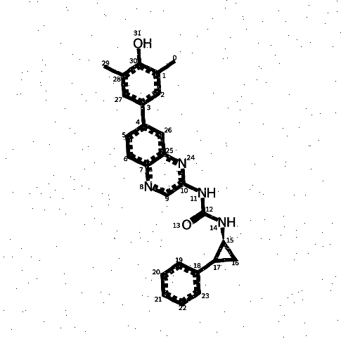 Cc1cc(-c2ccc3ncc(NC(=O)N[C@H]4CC4c4ccccc4)nc3c2)cc(C)c1O